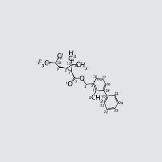 Cc1c(COC(=O)[C@H]2[C@@H](CC(Cl)C(F)(F)F)C2(C)C)cccc1-c1ccccc1